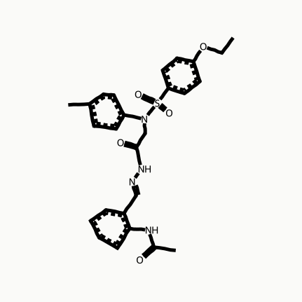 CCOc1ccc(S(=O)(=O)N(CC(=O)N/N=C/c2ccccc2NC(C)=O)c2ccc(C)cc2)cc1